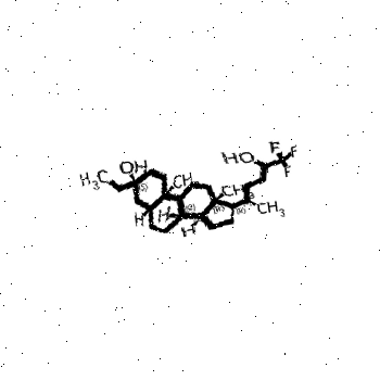 CC[C@]1(O)CC[C@]2(C)C3CC[C@]4(C)[C@@H]([C@H](C)CCC(O)C(F)(F)F)CC[C@H]4[C@@H]3CC[C@@H]2C1